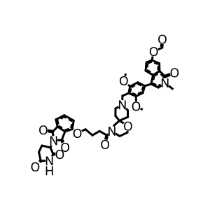 COc1cc(-c2cn(C)c(=O)c3cc(OC=O)ccc23)cc(OC)c1CN1CCC2(CC1)CN(C(=O)CCCOc1cccc3c1C(=O)N(C1CCC(=O)NC1=O)C3=O)CCO2